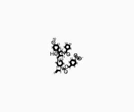 C=CCN(C(=O)OCc1ccc([N+](=O)[O-])cc1)C1CCN(CC2CN(C(=O)C3CCCC3)CC2(O)c2ccc(OC)cc2)CC1